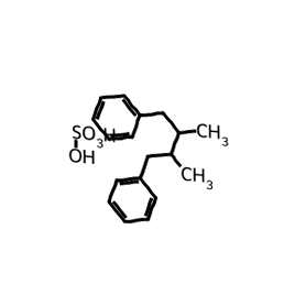 CC(Cc1ccccc1)C(C)Cc1ccccc1.O=S(=O)(O)O